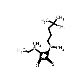 CCN(C)c1c(N(C)CCCC(C)(C)C)c(=S)c1=O